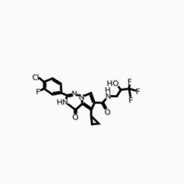 O=C(NCC(O)C(F)(F)F)c1cn2nc(-c3ccc(Cl)c(F)c3)[nH]c(=O)c2c1C1CC1